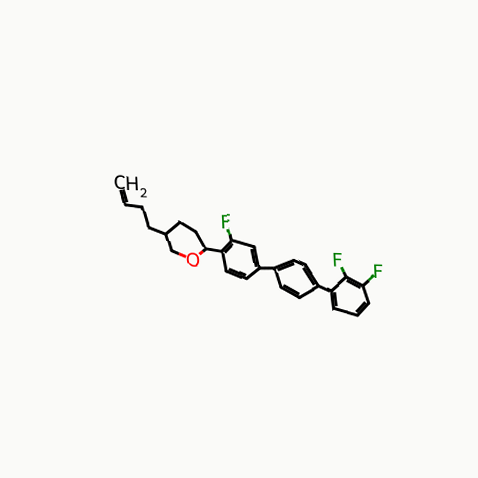 C=CCCC1CCC(c2ccc(-c3ccc(-c4cccc(F)c4F)cc3)cc2F)OC1